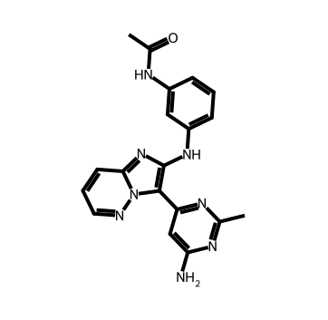 CC(=O)Nc1cccc(Nc2nc3cccnn3c2-c2cc(N)nc(C)n2)c1